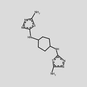 Nc1nnc(NC2CCC(Nc3nnc(N)s3)CC2)s1